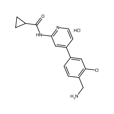 Cl.NCc1ccc(-c2ccnc(NC(=O)C3CC3)c2)cc1Cl